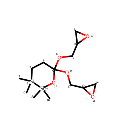 C[Si]1(C)CCC(OCC2CO2)(OCC2CO2)O[Si]1(C)C